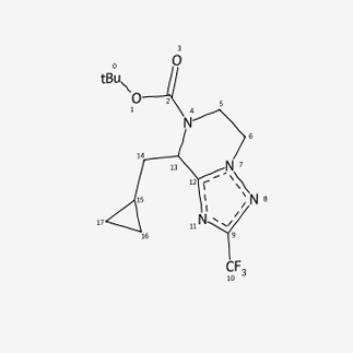 CC(C)(C)OC(=O)N1CCn2nc(C(F)(F)F)nc2C1CC1CC1